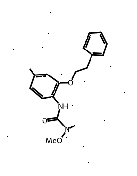 CON(C)C(=O)Nc1ccc(C)cc1OCCc1ccccc1